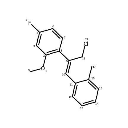 COc1cc(F)ccc1C(=Cc1ccccc1C)CCl